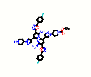 CC(C)(C)OC(=O)N1CCC(n2cc(-c3cnc(N)c(-c4nnc(-c5ccc(F)cc5)o4)c3)cn2)CC1.Nc1ncc(-c2cnn(C3CCNCC3)c2)cc1-c1nnc(-c2ccc(F)cc2)o1